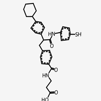 O=C(O)CCNC(=O)c1ccc(CC(C(=O)Nc2ccc(S)cc2)c2ccc(C3CCCCC3)cc2)cc1